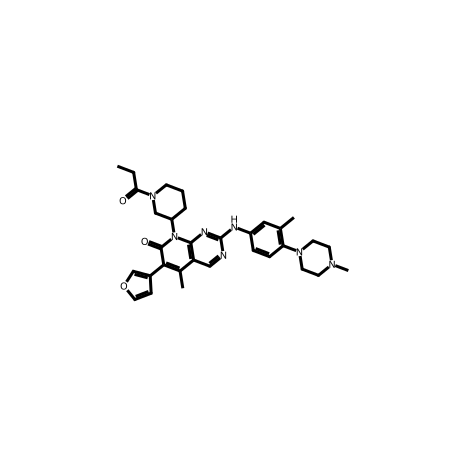 CCC(=O)N1CCCC(n2c(=O)c(-c3ccoc3)c(C)c3cnc(Nc4ccc(N5CCN(C)CC5)c(C)c4)nc32)C1